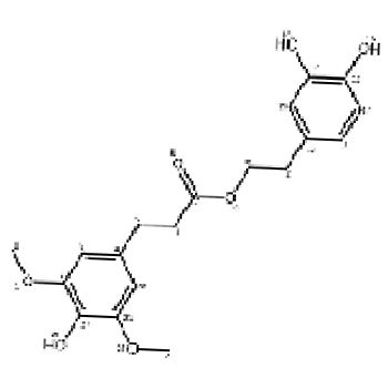 COc1cc(CCC(=O)OCCc2ccc(O)c(O)c2)cc(OC)c1O